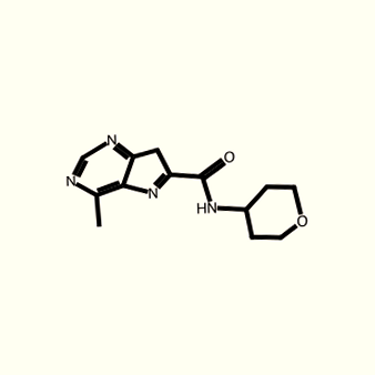 Cc1ncnc2c1N=C(C(=O)NC1CCOCC1)C2